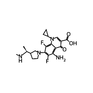 CN[C@@H](C)C1CCN(c2c(F)c(N)c3c(=O)c(C(=O)O)cn(C4CC4)c3c2F)C1